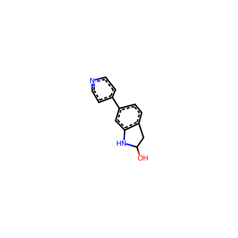 OC1Cc2ccc(-c3ccncc3)cc2N1